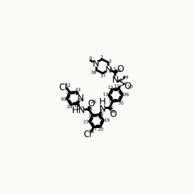 CN1CCN(C(=O)N=S(C)(=O)c2ccc(C(=O)Nc3ccc(Cl)cc3C(=O)Nc3ccc(Cl)cn3)cc2)CC1